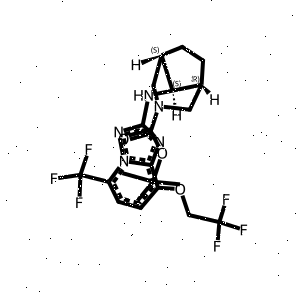 CC(C)(C)OC(=O)N1C[C@H]2CC[C@@H](C1)[C@@H]2Nc1nc2c(OCC(F)(F)F)ccc(C(F)(F)F)n2n1